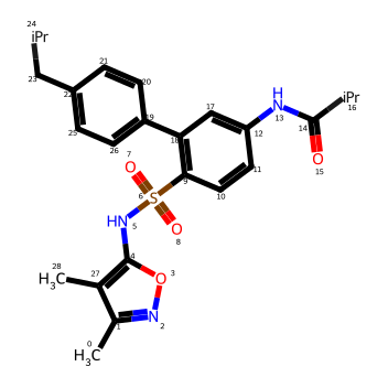 Cc1noc(NS(=O)(=O)c2ccc(NC(=O)C(C)C)cc2-c2ccc(CC(C)C)cc2)c1C